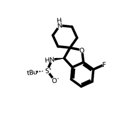 CC(C)(C)[S@@+]([O-])N[C@@H]1c2cccc(F)c2OC12CCNCC2